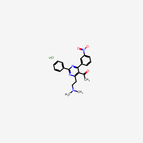 CC(=O)c1c(CCN(C)C)nc(-c2ccccc2)nc1-c1cccc([N+](=O)[O-])c1.Cl